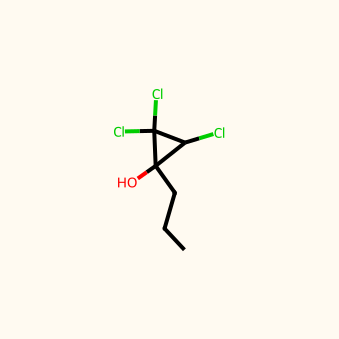 CCCC1(O)C(Cl)C1(Cl)Cl